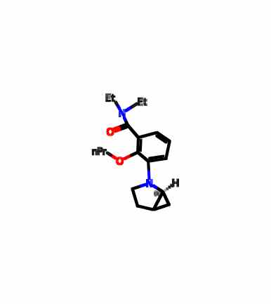 CCCOc1c(C(=O)N(CC)CC)cccc1N1CCC2C[C@@H]21